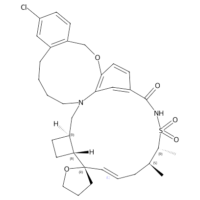 C[C@@H]1[C@@H](C)C/C=C/[C@@]2(CCCO2)[C@@H]2CC[C@H]2CN2CCCCc3cc(Cl)ccc3COc3ccc(cc32)C(=O)NS1(=O)=O